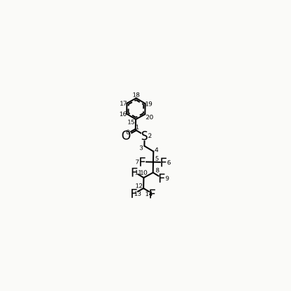 O=C(SCCC(F)(F)C(F)C(F)C(F)F)c1ccccc1